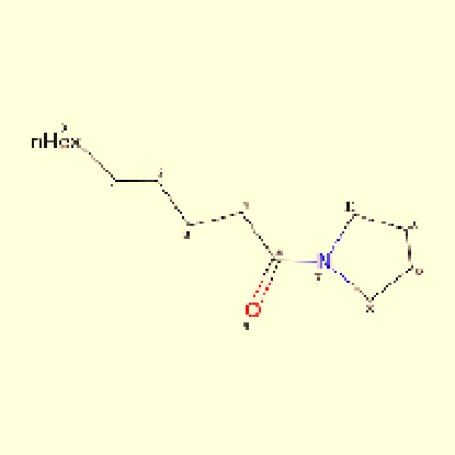 CCCCCCCCCCC(=O)N1CCCC1